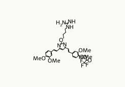 COc1ccc(C=Cc2cc(C=Cc3ccc(OC)c(OC)c3)nc(OCCCCNC(=N)N)n2)cc1OC.O=C(O)C(F)(F)F